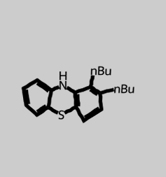 CCCCc1ccc2c(c1CCCC)Nc1ccccc1S2